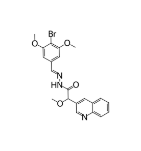 COc1cc(/C=N/NC(=O)C(OC)c2cnc3ccccc3c2)cc(OC)c1Br